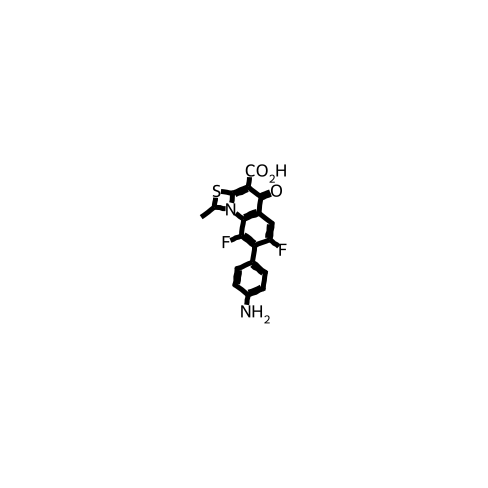 CC1Sc2c(C(=O)O)c(=O)c3cc(F)c(-c4ccc(N)cc4)c(F)c3n21